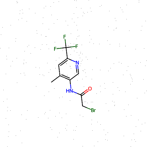 Cc1cc(C(F)(F)F)ncc1NC(=O)CBr